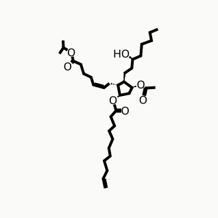 C=CCCCCCCCCC(=O)O[C@H]1C[C@@H](OC(C)=O)[C@H](CC[C@@H](O)CCCCC)[C@H]1C/C=C\CCCC(=O)OC(C)C